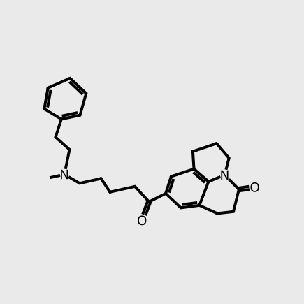 CN(CCCCC(=O)c1cc2c3c(c1)CCC(=O)N3CCC2)CCc1ccccc1